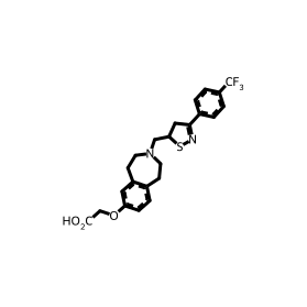 O=C(O)COc1ccc2c(c1)CCN(CC1CC(c3ccc(C(F)(F)F)cc3)=NS1)CC2